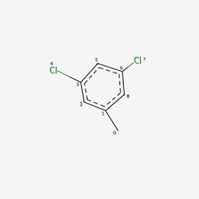 Cc1[c]c(Cl)cc(Cl)c1